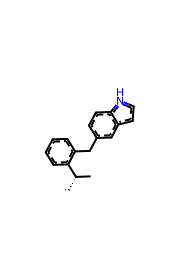 [CH2][C@@H](C)c1ccccc1Cc1ccc2[nH]ccc2c1